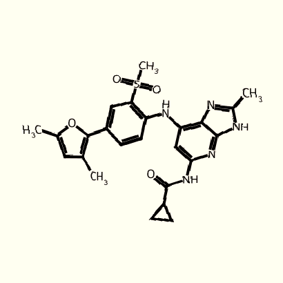 Cc1nc2c(Nc3ccc(-c4oc(C)cc4C)cc3S(C)(=O)=O)cc(NC(=O)C3CC3)nc2[nH]1